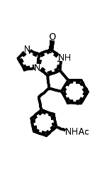 CC(=O)Nc1cccc(CC2c3ccccc3-c3[nH]c(=O)c4nccn4c32)c1